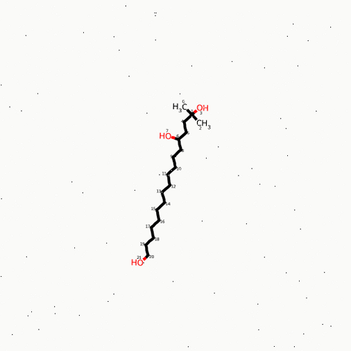 CC(C)(O)CCC(O)CCCCCCCCCCCCCO